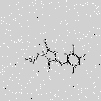 Cc1cc(C)c(/C=C2\SC(=S)N(CC(=O)O)C2=O)cc1C